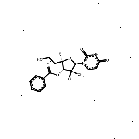 C[C@]1(Cl)[C@H](n2ccc(=O)[nH]c2=O)O[C@](F)(CCO)[C@H]1OC(=O)c1ccccc1